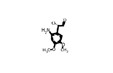 COc1cc(N)c([C@H](Cl)C=O)cc1OC